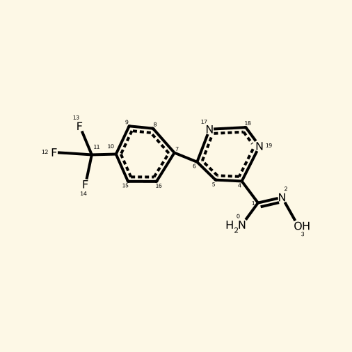 NC(=NO)c1cc(-c2ccc(C(F)(F)F)cc2)ncn1